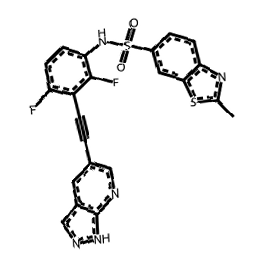 Cc1nc2ccc(S(=O)(=O)Nc3ccc(F)c(C#Cc4cnc5[nH]ncc5c4)c3F)cc2s1